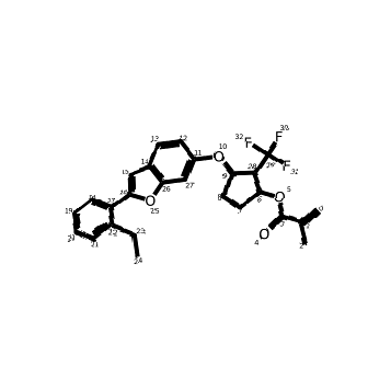 C=C(C)C(=O)OC1CCC(Oc2ccc3cc(-c4ccccc4CC)oc3c2)C1C(F)(F)F